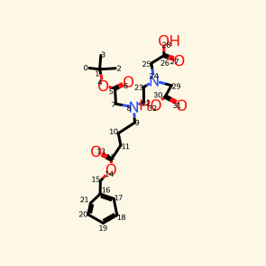 CC(C)(C)OC(=O)CN(CCCC(=O)OCc1ccccc1)CCN(CC(=O)O)CC(=O)O